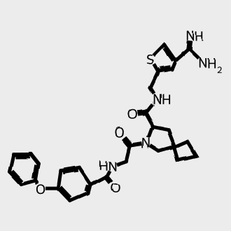 N=C(N)c1csc(CNC(=O)C2CC3(CCC3)CN2C(=O)CNC(=O)c2ccc(Oc3ccccc3)cc2)c1